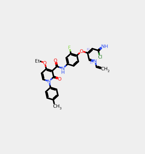 C=C/N=C/C(=C\C(=N)Cl)Oc1ccc(NC(=O)c2c(OCC)ccn(-c3ccc(C)cc3)c2=O)cc1F